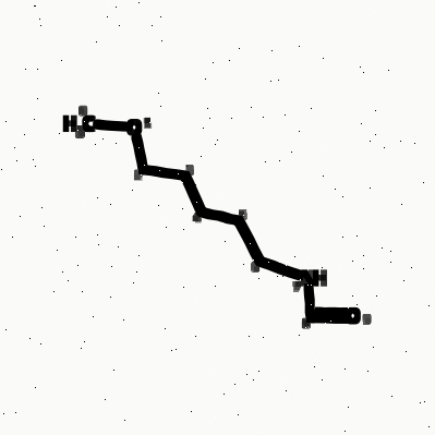 COCCCCCNC=O